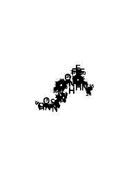 COC(=O)Nc1ncc(-c2cn(-c3cc(C(=O)Nc4cc(CNC(C)C)cc(C(F)(F)F)c4)ccc3C)nn2)s1